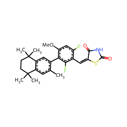 COc1cc(F)c(/C=C2/SC(=O)NC2=O)c(F)c1-c1cc2c(cc1C)C(C)(C)CCC2(C)C